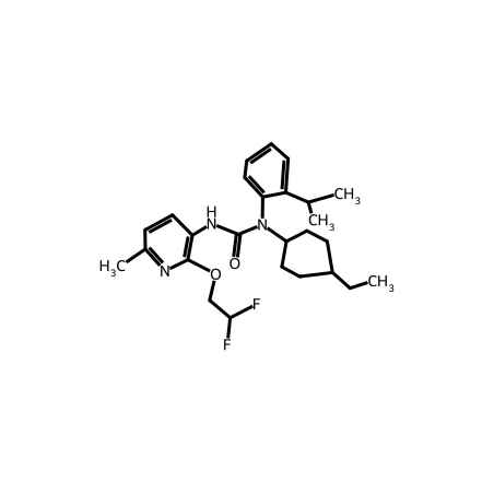 CCC1CCC(N(C(=O)Nc2ccc(C)nc2OCC(F)F)c2ccccc2C(C)C)CC1